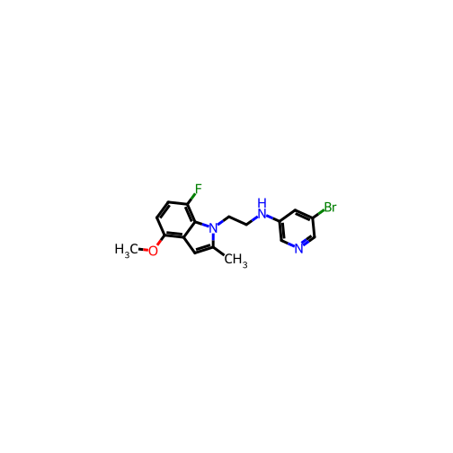 COc1ccc(F)c2c1cc(C)n2CCNc1cncc(Br)c1